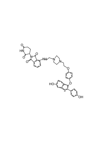 O=C1CCC(N2C(=O)c3cccc(NCCN4CCN(CCOc5ccc(Oc6c(-c7ccc(O)cc7)sc7cc(O)ccc67)cc5)CC4)c3C2=O)C(=O)N1